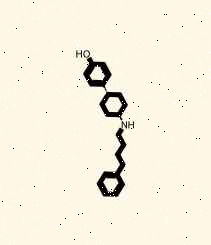 Oc1ccc([C@H]2CC[C@@H](NCCCCc3ccccc3)CC2)cc1